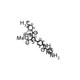 COC(=O)c1sc(-c2ccc(NC(=O)c3csc(N)n3)cc2)cc1N(C(=O)[C@H]1CC[C@H](C)CC1)C(C)C